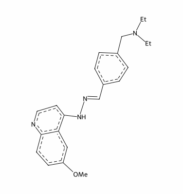 CCN(CC)Cc1ccc(C=NNc2ccnc3ccc(OC)cc23)cc1